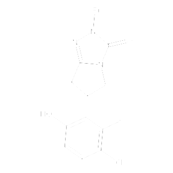 CCn1nc2n(c1=O)C[C@H](c1c(O)ccc(Cl)c1Cl)C2